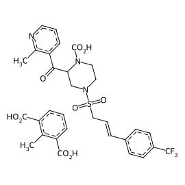 Cc1c(C(=O)O)cccc1C(=O)O.Cc1ncccc1C(=O)C1CN(S(=O)(=O)CC=Cc2ccc(C(F)(F)F)cc2)CCN1C(=O)O